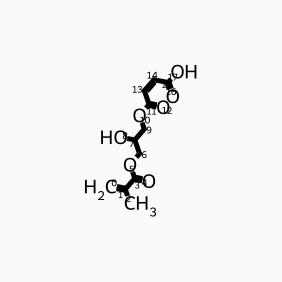 C=C(C)C(=O)OCC(O)COC(=O)/C=C\C(=O)O